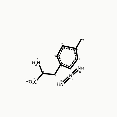 Cc1ccc(CC(N)C(=O)O)cc1.N=[N+]=N